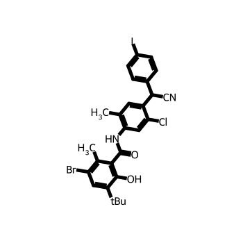 Cc1cc(C(C#N)c2ccc(I)cc2)c(Cl)cc1NC(=O)c1c(C)c(Br)cc(C(C)(C)C)c1O